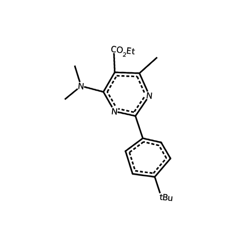 CCOC(=O)c1c(C)nc(-c2ccc(C(C)(C)C)cc2)nc1N(C)C